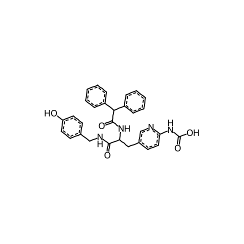 O=C(O)Nc1ccc(CC(NC(=O)C(c2ccccc2)c2ccccc2)C(=O)NCc2ccc(O)cc2)cn1